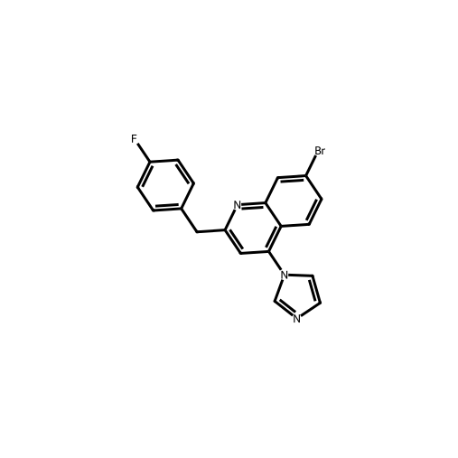 Fc1ccc(Cc2cc(-n3ccnc3)c3ccc(Br)cc3n2)cc1